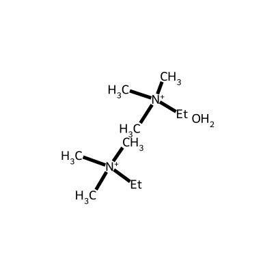 CC[N+](C)(C)C.CC[N+](C)(C)C.O